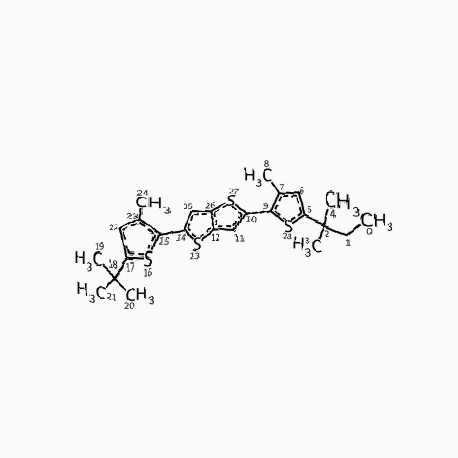 CCC(C)(C)c1cc(C)c(-c2cc3sc(-c4sc(C(C)(C)C)cc4C)cc3s2)s1